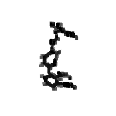 CN(C)CCOc1ccc(-c2cccc(N)c2N)cc1